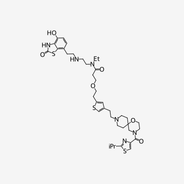 CCN(CCNCCc1ccc(O)c2[nH]c(=O)sc12)C(=O)CCOCCc1cc(CCN2CCC3(CC2)CN(C(=O)c2csc(C(C)C)n2)CCO3)cs1